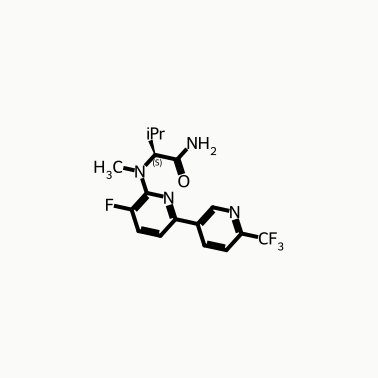 CC(C)[C@@H](C(N)=O)N(C)c1nc(-c2ccc(C(F)(F)F)nc2)ccc1F